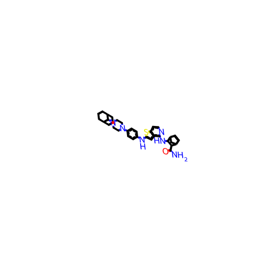 NC(=O)C1C2C=CC(C2)C1Nc1nccc2sc(Nc3ccc(N4CCN(C5C6CCCC5CCC6)CC4)cc3)cc12